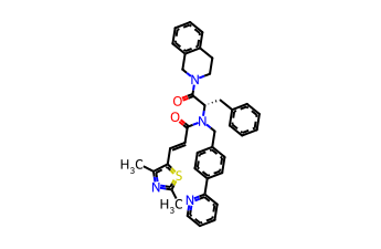 Cc1nc(C)c(/C=C/C(=O)N(Cc2ccc(-c3ccccn3)cc2)[C@@H](Cc2ccccc2)C(=O)N2CCc3ccccc3C2)s1